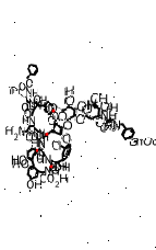 CCCCCCCCOc1ccc(CNCC(=O)N[C@@]2(C)C[C@H](OC3C(Oc4c5cc6cc4Oc4ccc(cc4Cl)[C@@H](O)[C@@H](NC(=O)[C@H](CC(C)C)NC(=O)OCc4ccccc4)C(=O)N[C@@H](CC(N)=O)C(=O)N[C@H]6C(=O)N[C@H]4C(=O)N[C@H](C(=O)N[C@H](C(=O)O)c6cc(O)cc(O)c6-c6cc4ccc6O)[C@H](O)c4ccc(c(Cl)c4)O5)O[C@H](CO)[C@@H](O)[C@@H]3O)O[C@@H](C)[C@H]2O)cc1